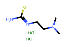 CN(C)CCN=C(N)S.Cl.Cl